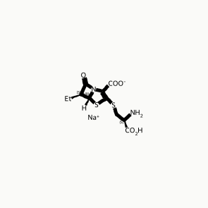 CC[C@H]1C(=O)N2C(C(=O)[O-])=C(SC[C@@H](N)C(=O)O)S[C@H]12.[Na+]